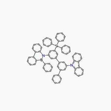 c1ccc(B2c3ccccc3-c3ccccc3N2c2cc(-c3cc(-c4ccccc4)cc(-n4c5ccccc5c5ccccc54)c3)cc([Si](c3ccccc3)(c3ccccc3)c3ccccc3)c2)cc1